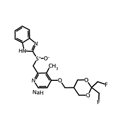 Cc1c(OCC2COC(CF)(CF)OC2)ccnc1C[S+]([O-])c1nc2ccccc2[nH]1.[NaH]